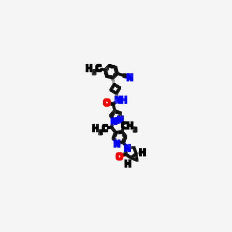 Cc1ccc(C#N)c([C@H]2C[C@@H](NC(=O)c3cnn([C@H](C)c4cnc(N5C[C@H]6C[C@H]6C5=O)cc4C)c3)C2)c1